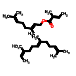 C/C=C(\C)C(=O)OC/C=C(\C)CCC=C(C)C.C/C=C(\CC/C=C(\C)CCC=C(C)C)C(=O)O